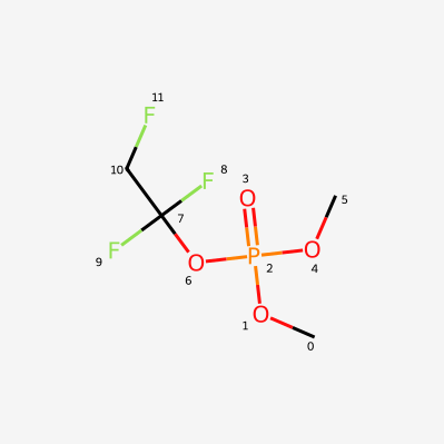 COP(=O)(OC)OC(F)(F)CF